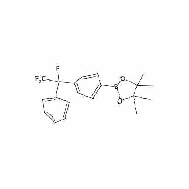 CC1(C)OB(c2ccc(C(F)(c3ccccc3)C(F)(F)F)cc2)OC1(C)C